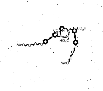 COCCOCCOCCOc1ccc(C#Cc2cc(CN3CCN(CC(=O)O)CCN(Cc4cc(C#Cc5ccc(OCCOCCOCCOC)cc5)cc(C(=O)O)n4)Cc4cccc(n4)C3)nc(C(=O)O)c2)cc1